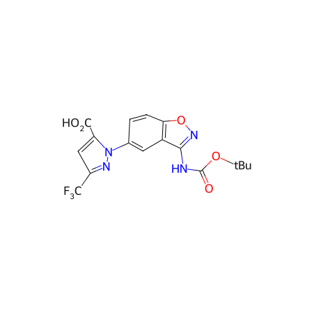 CC(C)(C)OC(=O)Nc1noc2ccc(-n3nc(C(F)(F)F)cc3C(=O)O)cc12